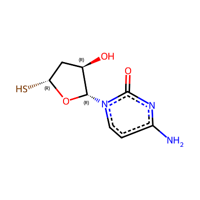 Nc1ccn([C@@H]2O[C@H](S)C[C@H]2O)c(=O)n1